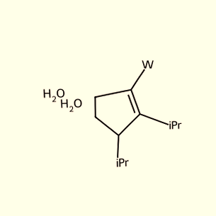 CC(C)C1=[C]([W])CCC1C(C)C.O.O